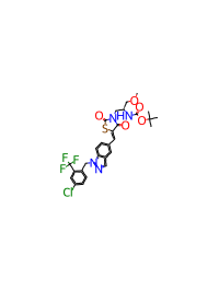 COC[C@H](CN1C(=O)S/C(=C\c2ccc3c(cnn3Cc3ccc(Cl)cc3C(F)(F)F)c2)C1=O)NC(=O)OC(C)(C)C